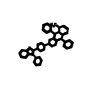 CC1C=CC=C2C(c3ccccc3)=c3ccc(-c4ccc(-c5nc6ccccc6n5-c5ccccc5)cc4)cc3=C(c3ccccc3)C21